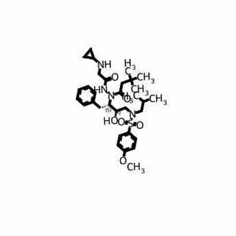 COc1ccc(S(=O)(=O)N(CC(C)C)C[C@@H](O)[C@H](Cc2ccccc2)N(NC(=O)CNC2CC2)C(=O)CC(C)(C)C)cc1